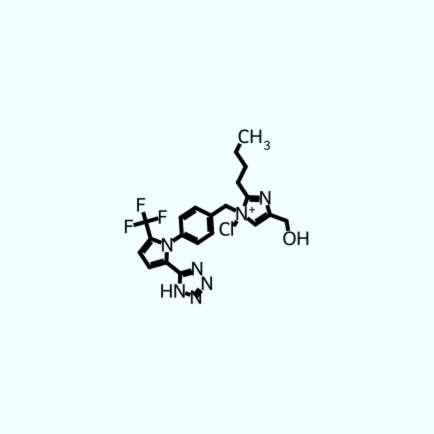 CCCCC1=NC(CO)=C[N+]1(Cl)Cc1ccc(-n2c(-c3nnn[nH]3)ccc2C(F)(F)F)cc1